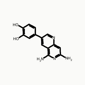 Nc1cc2ncc(-c3ccc(O)c(O)c3)cc2c(N)n1